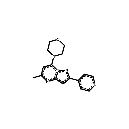 Cc1cc(N2CCOCC2)n2nc(-c3ccncc3)cc2n1